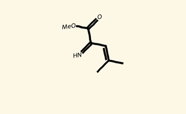 COC(=O)C(=N)C=C(C)C